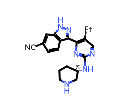 CCc1cnc(N[C@H]2CCCNC2)nc1-c1n[nH]c2cc(C#N)ccc12